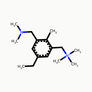 CCc1cc(CN(C)C)c(C)c(C[N+](C)(C)C)c1